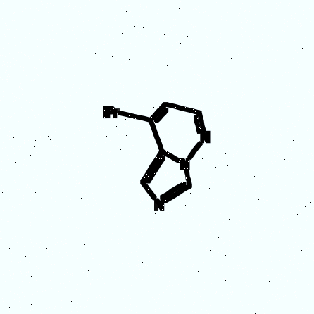 CC(C)c1ccnn2cncc12